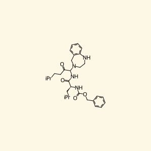 CC(C)CCC(=O)C(NC(=O)[C@H](CC(C)C)NC(=O)OCc1ccccc1)N1CCNc2ccccc2C1